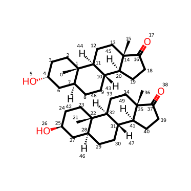 C[C@]12CC[C@@H](O)C[C@@H]1CC[C@@H]1[C@@H]2CC[C@]2(C)C(=O)CC[C@@H]12.C[C@]12CC[C@H](O)C[C@@H]1CC[C@@H]1[C@@H]2CC[C@]2(C)C(=O)CC[C@@H]12